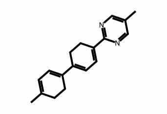 CC1=CC=C(C2=CC=C(c3ncc(C)cn3)CC2)CC1